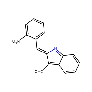 O=CC1=c2ccccc2=NC1=Cc1ccccc1[N+](=O)[O-]